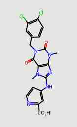 Cn1c(Nc2ccnc(C(=O)O)c2)nc2c1c(=O)n(Cc1ccc(Cl)c(Cl)c1)c(=O)n2C